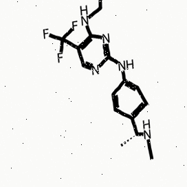 CCNc1nc(Nc2ccc([C@@H](C)NC)cc2)ncc1C(F)(F)F